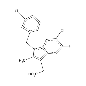 Cc1c(CC(=O)O)c2cc(F)c(Cl)cc2n1Cc1cccc(Cl)c1